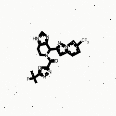 CC(C)(F)c1nnc(C(=O)N2CCc3[nH]cnc3C2c2cc3ccc(C(F)(F)F)cn3n2)o1